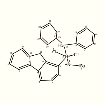 CCC(C)[NH][Hf]([Cl])([Cl])([c]1cccc2c1Cc1ccccc1-2)[SiH](c1ccccc1)c1ccccc1